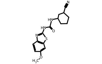 COc1ccc2nc(NC(=O)NC3CCCC(C#N)C3)sc2c1